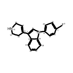 Fc1ccc(-n2cc(C3=CCNCC3)c3ccccc32)cc1